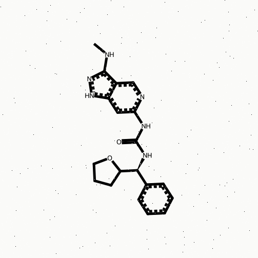 CNc1n[nH]c2cc(NC(=O)N[C@@H](c3ccccc3)C3CCCO3)ncc12